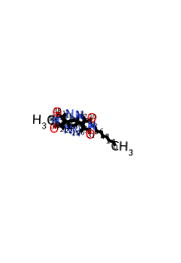 CCCCCCCCN1C(=O)c2cnc3c4ncc5c6c(cnc(c7ncc(c2c37)C1=O)c64)C(=O)N(C)C5=O